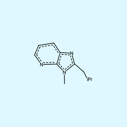 CC(C)Cc1nc2cccnc2n1C